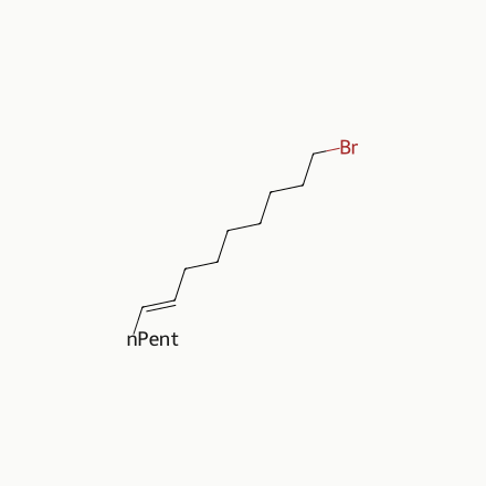 CCCCC/C=C/CCCCCCCBr